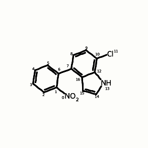 O=[N+]([O-])c1ccccc1-c1ccc(Cl)c2[nH]ccc12